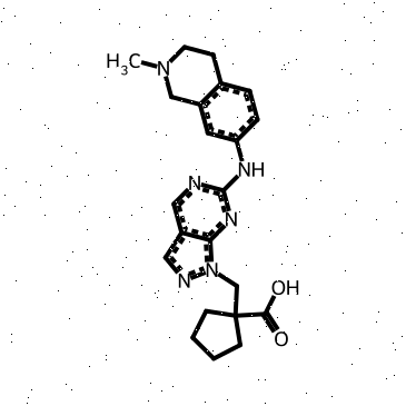 CN1CCc2ccc(Nc3ncc4cnn(CC5(C(=O)O)CCCC5)c4n3)cc2C1